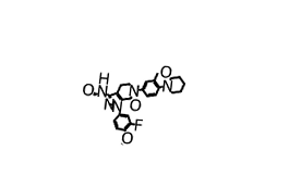 COc1ccc(-n2nc(NC=O)c3c2C(=O)N(c2ccc(N4CCCCC4=O)c(C)c2)CC3)cc1F